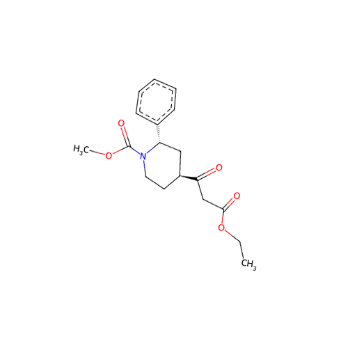 CCOC(=O)CC(=O)[C@H]1CCN(C(=O)OC)[C@H](c2ccccc2)C1